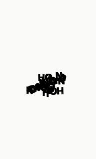 CN1CCC2(CC1)CN(c1ncc(-c3ccc(-c4ncccn4)cc3O)nn1)C2.O=C(O)C(F)(F)F